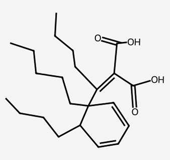 CCCCCC1(C(CCCC)=C(C(=O)O)C(=O)O)C=CC=CC1CCCC